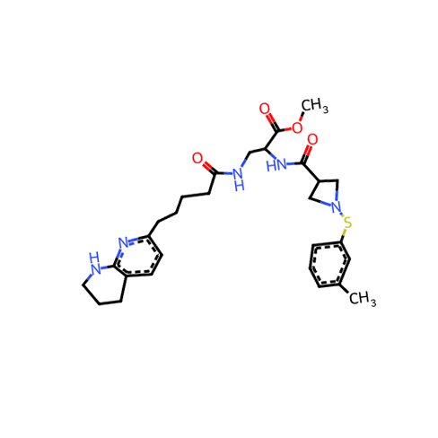 COC(=O)C(CNC(=O)CCCCc1ccc2c(n1)NCCC2)NC(=O)C1CN(Sc2cccc(C)c2)C1